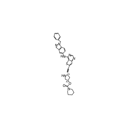 O=C(O[C@H]1CN[C@H](C#Cc2cc3ncnc(Nc4ccc5c(cnn5Cc5ccccc5)c4)c3s2)C1)N1CCCCC1